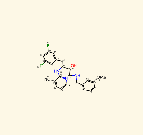 COc1cccc(CNC[C@@H](O)[C@H](Cc2cc(F)cc(F)c2)Nc2ncccc2C#N)c1